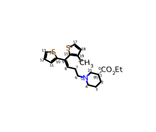 CCOC(=O)[C@@H]1CCCN(CCC=C(c2cccs2)c2sccc2C)C1